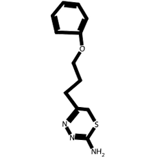 NC1=NN=C(CCCOc2ccccc2)CS1